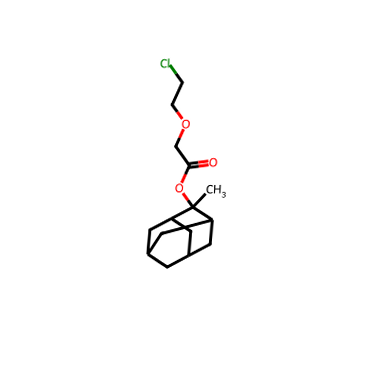 CC1(OC(=O)COCCCl)C2CC3CC(C2)CC1C3